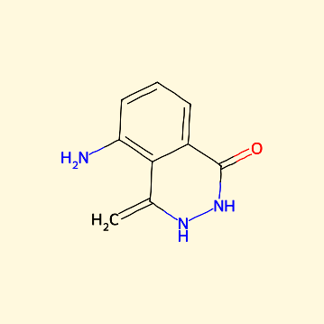 C=C1NNC(=O)c2cccc(N)c21